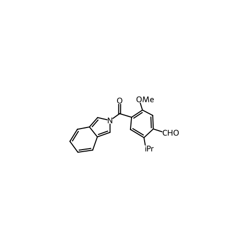 COc1cc(C=O)c(C(C)C)cc1C(=O)n1cc2ccccc2c1